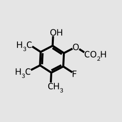 Cc1c(C)c(O)c(OC(=O)O)c(F)c1C